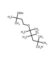 COC(C)(C)CCOC(C)(C)C(C)(C)CC(C)(C)C(=O)O